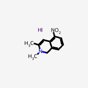 CC1=Cc2c(cccc2[N+](=O)[O-])CN1C.I